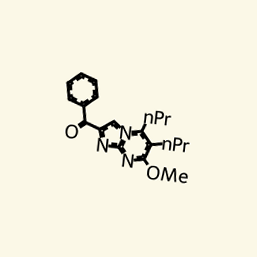 CCCc1c(OC)nc2nc(C(=O)c3ccccc3)cn2c1CCC